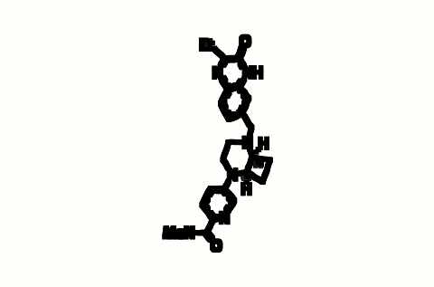 CCc1nc2ccc(CN3CCN(c4ccc(C(=O)NC)nc4)[C@@H]4CC[C@@H]43)cc2[nH]c1=O